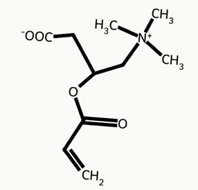 C=CC(=O)OC(CC(=O)[O-])C[N+](C)(C)C